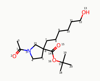 CC(=O)N1CCC(CCCCCCO)(C(=O)OC(C)(C)C)C1